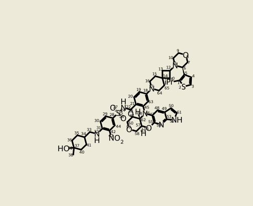 CC(C)c1sccc1[C@@H]1COCCN1C1CC2(CCN(c3ccc(C(=O)NS(=O)(=O)c4ccc(NCC5CCC(C)(O)CC5)c([N+](=O)[O-])c4)c(N4c5cc6cc[nH]c6nc5O[C@H]5COCC[C@@H]54)c3)CC2)C1